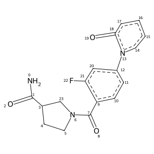 NC(=O)C1CCN(C(=O)c2ccc(-n3ccccc3=O)cc2F)C1